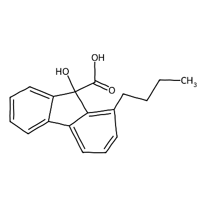 CCCCc1cccc2c1C(O)(C(=O)O)c1ccccc1-2